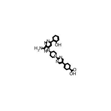 Nc1nn(C2CCN(c3ncc(C4=CCC(C(=O)O)CC4)cn3)CC2)c2cc(C3=C(O)C=CCC3)nnc12